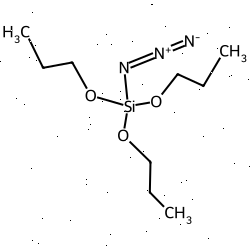 CCCO[Si](N=[N+]=[N-])(OCCC)OCCC